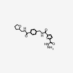 NNC(=O)c1ccc(C(=O)NCc2ccc(C(=O)NCC3CCCO3)cc2)s1